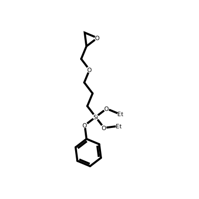 CCO[Si](CCCOCC1CO1)(OCC)Oc1ccccc1